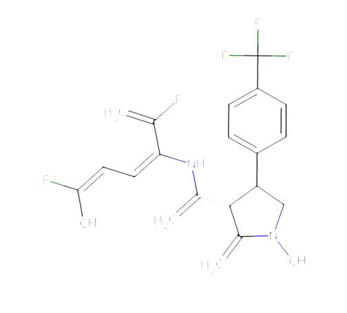 C=C(F)/C(=C\C=C(/C)F)NC(=C)[C@H]1C(=C)N(C)CC1c1ccc(C(F)(F)F)cc1